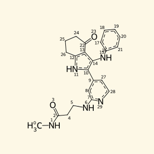 CNC(=O)CCNc1cc(-c2[nH]c3c(c2Nc2ccccc2)C(=O)CCC3)ccn1